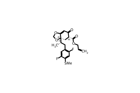 C=CCOC(=O)[C@@H]1C[C@]2([C@@H](C)Cc3cc(F)c(SC)cc3F)OCOC2=CC1=O